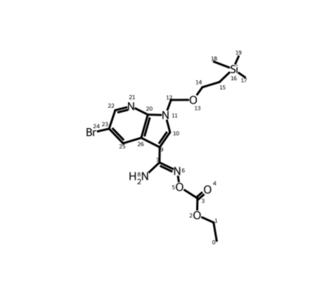 CCOC(=O)O/N=C(\N)c1cn(COCC[Si](C)(C)C)c2ncc(Br)cc12